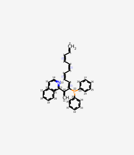 C=C\C=C/C=C\C=C/C=C(\C(=C)c1nccc2ccccc12)P(c1ccccc1)c1ccccc1